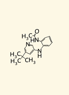 CC(=O)Nc1ccccc1Nc1cncc(C(C)(C)C)c1